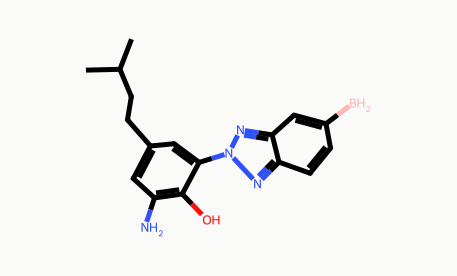 Bc1ccc2nn(-c3cc(CCC(C)C)cc(N)c3O)nc2c1